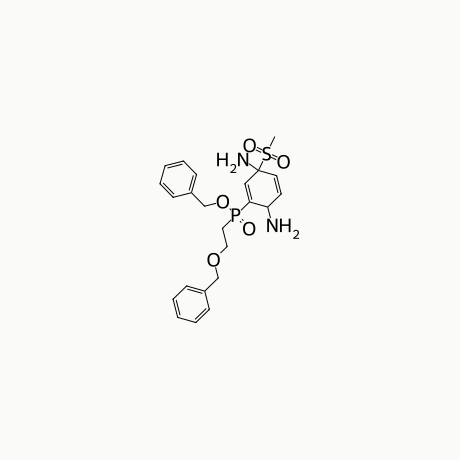 CS(=O)(=O)C1(N)C=CC(N)C(P(=O)(CCOCc2ccccc2)OCc2ccccc2)=C1